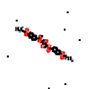 C=CC(=O)Oc1ccc2cc(C(=O)O[C@H]3COC4C3OC[C@H]4OC(=O)c3ccc4cc(OC(=O)C=C)ccc4c3)ccc2c1